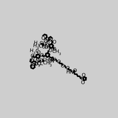 COc1cc2c(cc1OCc1cc(COc3cc4c(cc3OC)C(=O)N3CCC[C@H]3[C@H](OC3CCCCO3)N4C(=O)OC(C)(C)C)cc(-c3cn(CCOCCOCCOCCNC(=O)CCCCCN4C(=O)C=CC4=O)nn3)c1)N(C(=O)OC(C)(C)C)[C@@H](OC1CCCCO1)[C@@H]1CCCN1C2=O